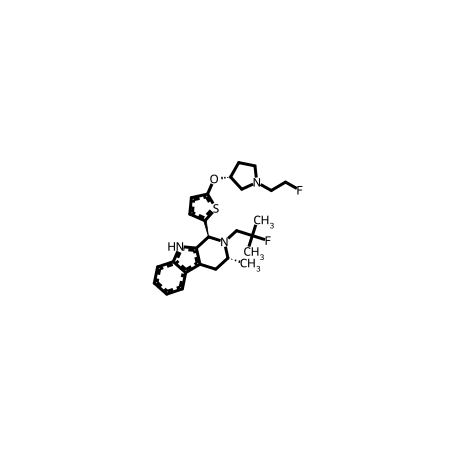 C[C@@H]1Cc2c([nH]c3ccccc23)[C@@H](c2ccc(O[C@@H]3CCN(CCF)C3)s2)N1CC(C)(C)F